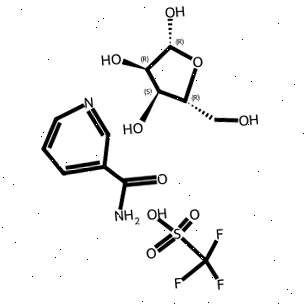 NC(=O)c1cccnc1.O=S(=O)(O)C(F)(F)F.OC[C@H]1O[C@@H](O)[C@H](O)[C@@H]1O